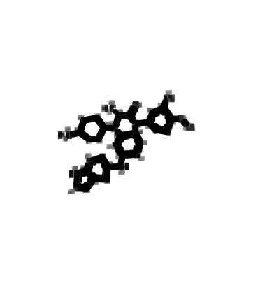 CCOc1ccc(N2C(=O)[C@@H](C)N(C3CCC(C)CC3)c3nc(Nc4cnc5[nH]ncc5c4)ncc32)cc1C#N